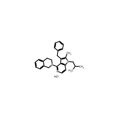 Cc1c(Cc2ccccc2)c2c(N3CCc4ccccc4C3)nccc2n1CC(C)C.Cl